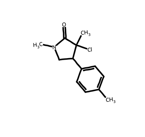 Cc1ccc(C2CN(C)C(=O)C2(C)Cl)cc1